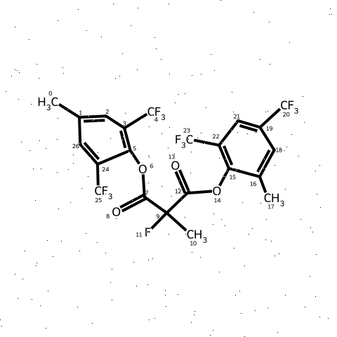 Cc1cc(C(F)(F)F)c(OC(=O)C(C)(F)C(=O)Oc2c(C)cc(C(F)(F)F)cc2C(F)(F)F)c(C(F)(F)F)c1